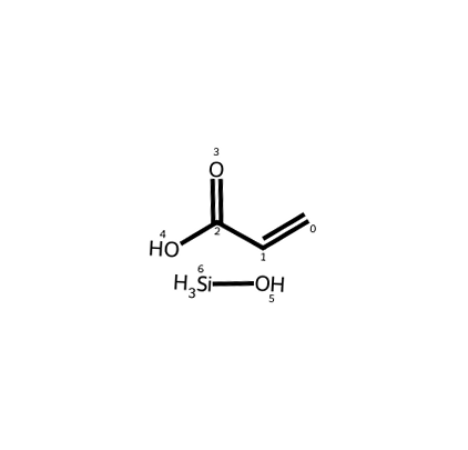 C=CC(=O)O.O[SiH3]